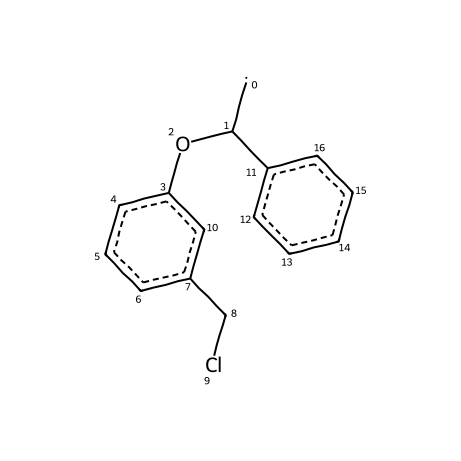 [CH2]C(Oc1cccc(CCl)c1)c1ccccc1